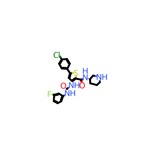 O=C(Nc1cccc(F)c1)Nc1cc(-c2ccc(Cl)cc2)sc1C(=O)N[C@H]1CCCNC1